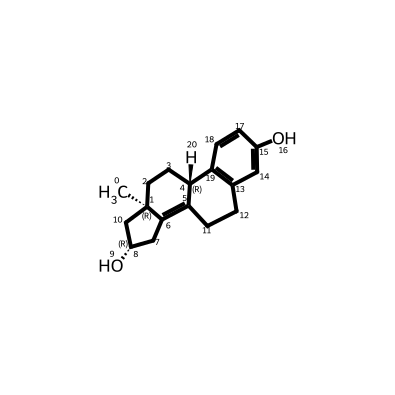 C[C@]12CC[C@H]3C(=C1C[C@H](O)C2)CCc1cc(O)ccc13